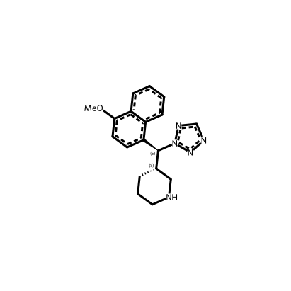 COc1ccc([C@H]([C@H]2CCCNC2)n2ncnn2)c2ccccc12